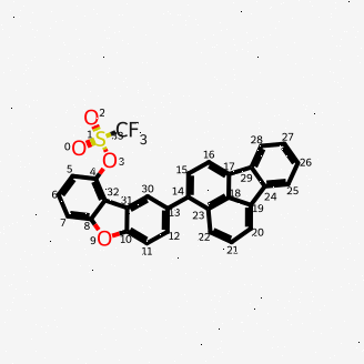 O=S(=O)(Oc1cccc2oc3ccc(-c4ccc5c6c(cccc46)-c4ccccc4-5)cc3c12)C(F)(F)F